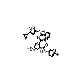 O=C(Nc1ccc(F)nc1)[C@@H]1C[C@@H](S)CN1c1nc(Nc2cc(C3CC3)[nH]n2)c2cccn2n1